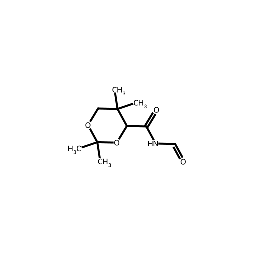 CC1(C)OCC(C)(C)C(C(=O)NC=O)O1